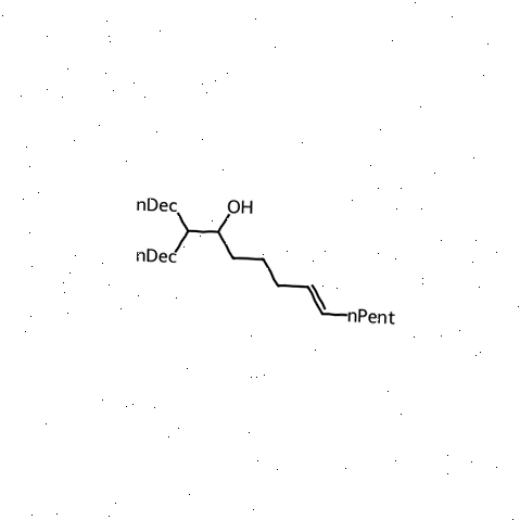 CCCCCC=CCCCC(O)C(CCCCCCCCCC)CCCCCCCCCC